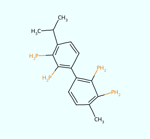 Cc1ccc(-c2ccc(C(C)C)c(P)c2P)c(P)c1P